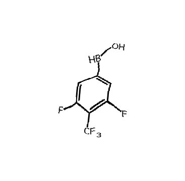 OBc1cc(F)c(C(F)(F)F)c(F)c1